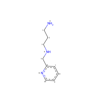 NCCCNCc1ccccn1